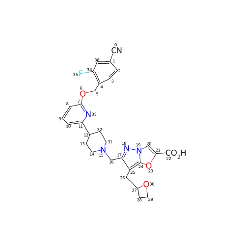 N#Cc1ccc(COc2cccc(C3CCN(Cc4nn5cc(C(=O)O)oc5c4CC4CCO4)CC3)n2)c(F)c1